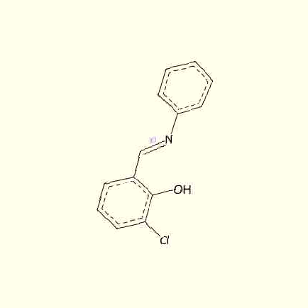 Oc1c(Cl)cccc1/C=N/c1ccccc1